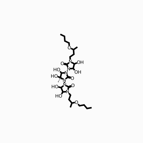 CCCCOC(C)CCN1C(=O)N(N2C(=O)N(N3C(=O)N(CCC(C)OCCCC)C(O)C3O)[C@@](C)(O)C2O)C(O)C1O